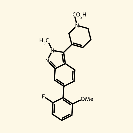 COc1cccc(F)c1-c1ccc2c(C3=CCCN(C(=O)O)C3)n(C)nc2c1